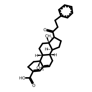 C[C@]12CCC(C(=O)O)=CC1=CC[C@@H]1[C@H]2CC[C@]2(C)C(C(=O)CCc3ccccc3)CC[C@@H]12